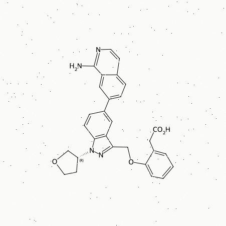 Nc1nccc2ccc(-c3ccc4c(c3)c(COc3ccccc3CC(=O)O)nn4[C@@H]3CCOC3)cc12